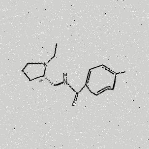 CCN1CCC[C@H]1CNC(=O)c1ccc(C)cc1